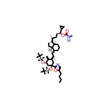 C=C1/C(=C\C=C2/CCC[C@]3(C)[C@@H]([C@H](C)CC[C@H](OC(=O)NC)C4CC4)CC[C@@H]23)C[C@](O[Si](C)(C)C(C)(C)C)(c2ncc(CCCC)o2)C[C@@H]1O[Si](C)(C)C(C)(C)C